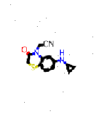 N#CCN1C(=O)CSc2ccc(NC3CC3)cc21